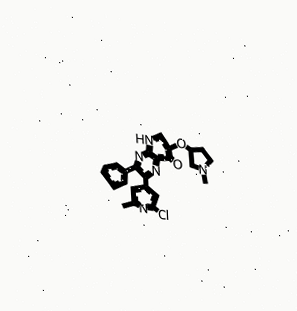 Cc1cc(-c2nc3c(=O)c(OC4CCN(C)C4)c[nH]c3nc2-c2ccccc2)cc(Cl)n1